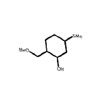 COCC1CCC(SC)CC1O